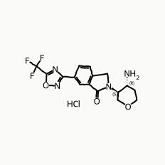 Cl.N[C@@H]1CCOC[C@H]1N1Cc2ccc(-c3noc(C(F)(F)F)n3)cc2C1=O